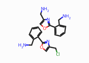 NCc1ccccc1-c1nc(CCl)co1.NCc1coc(-c2ccccc2CN)n1